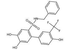 O=S(=O)(NCc1ccccc1)c1cc(O)c(O)cc1-c1ccc(O)c(C(F)(F)F)c1